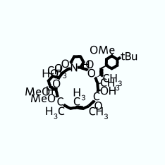 CO[C@H]1C[C@@H](C)C/C(C)=C/C(C)C(=O)C[C@H](O)[C@@H](C)[C@@H](/C(C)=C/[C@@H]2CCC(C(C)(C)C)[C@H](OC)C2)OC(=O)[C@@H]2CCCCN2C(=O)C(=O)[C@]2(O)O[C@H]1[C@@H](OC)C[C@H]2C